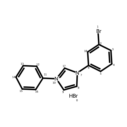 Br.Brc1cccc(-n2cc[n+](-c3ccccc3)c2)c1